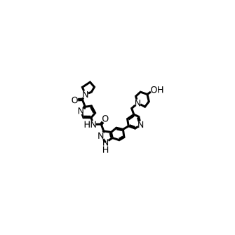 O=C(Nc1ccc(C(=O)N2CCCC2)nc1)c1n[nH]c2ccc(-c3cncc(CN4CCC(O)CC4)c3)cc12